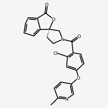 Cc1ccc(Oc2ccc(C(=O)N3CC[C@@]4(C3)OC(=O)c3ccccc34)c(Cl)c2)cn1